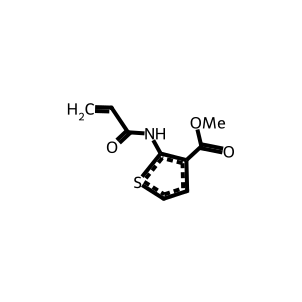 C=CC(=O)Nc1sccc1C(=O)OC